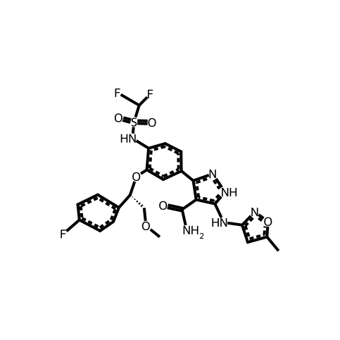 COC[C@@H](Oc1cc(-c2n[nH]c(Nc3cc(C)on3)c2C(N)=O)ccc1NS(=O)(=O)C(F)F)c1ccc(F)cc1